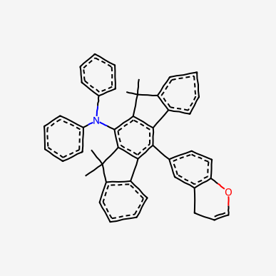 CC1(C)c2ccccc2-c2c(-c3ccc4c(c3)CC=CO4)c3c(c(N(c4ccccc4)c4ccccc4)c21)C(C)(C)c1ccccc1-3